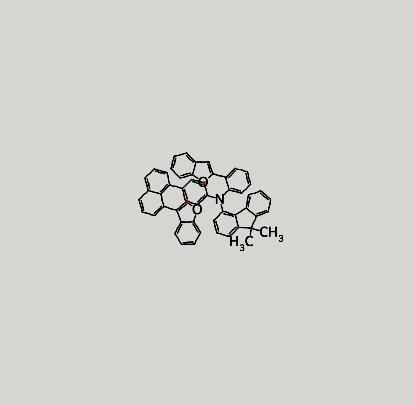 CC1(C)c2ccccc2-c2c(N(c3ccc(-c4cccc5cccc(-c6coc7ccccc67)c45)cc3)c3ccccc3-c3cc4ccccc4o3)cccc21